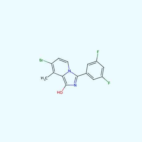 Cc1c(Br)ccn2c(-c3cc(F)cc(F)c3)nc(O)c12